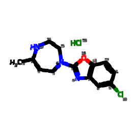 CC1CCN(c2nc3cc(Cl)ccc3o2)CCN1.Cl